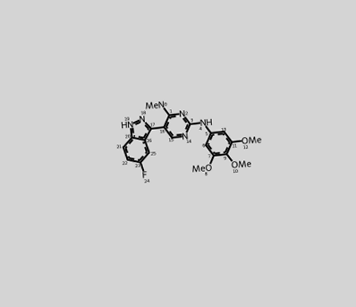 CNc1nc(Nc2cc(OC)c(OC)c(OC)c2)ncc1-c1n[nH]c2ccc(F)cc12